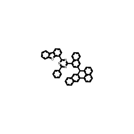 c1ccc(-c2nc(-c3cc(C4c5cc6ccccc6cc5-c5cccc6cccc4c56)cc4ccccc34)nc(-c3cccc4c3oc3ccccc34)n2)cc1